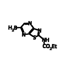 Bc1cnc2nc(NC(=O)OCC)sc2n1